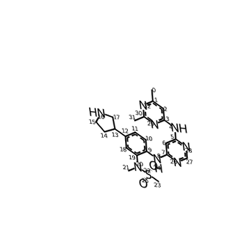 Cc1cc(Nc2cc(Nc3ccc(C4CCNC4)cc3N(C)S(C)(=O)=O)ncn2)nc(C)n1